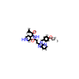 O=C(CCc1nc2cccnc2n1Cc1ccc(OC(F)(F)F)cc1)NC(C(=O)C1CC1)C1CCNCC1